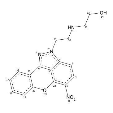 O=[N+]([O-])c1ccc2c3c(nn2CCNCCO)-c2ccccc2Oc13